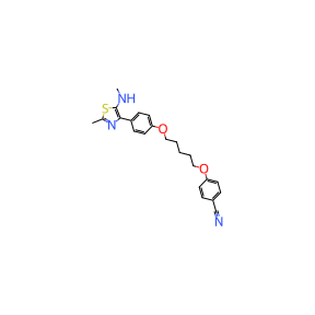 CNc1sc(C)nc1-c1ccc(OCCCCCOc2ccc(C#N)cc2)cc1